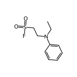 CCN(CCS(=O)(=O)F)c1ccccc1